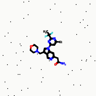 CCc1cc(-n2cc(CN3CCOCC3)c3cnc(CC(N)=O)cc32)nc(C(C)(F)F)n1